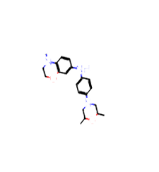 CC1CN(c2ccc(Nc3ccc4c(c3)OCCN4C)cc2)CC(C)O1